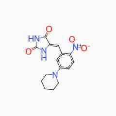 O=C1NC(=O)C(=Cc2cc(N3CCCCC3)ccc2[N+](=O)[O-])N1